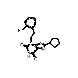 O=c1[nH]c(=O)n(CCc2ccccc2Br)c2nc(C3CCCC3)[nH]c12